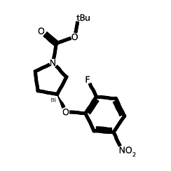 CC(C)(C)OC(=O)N1CC[C@H](Oc2cc([N+](=O)[O-])ccc2F)C1